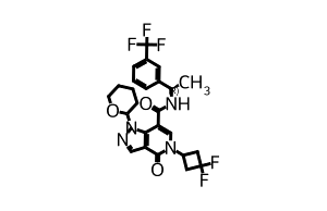 C[C@@H](NC(=O)c1cn(C2CC(F)(F)C2)c(=O)c2cnn(C3CCCCO3)c12)c1cccc(C(F)(F)F)c1